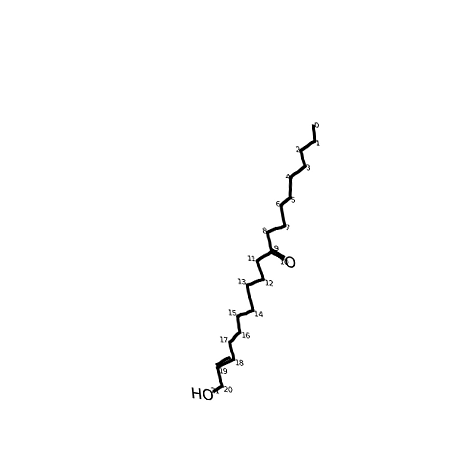 CCCCCCCCCC(=O)CCCCCCCC=CCO